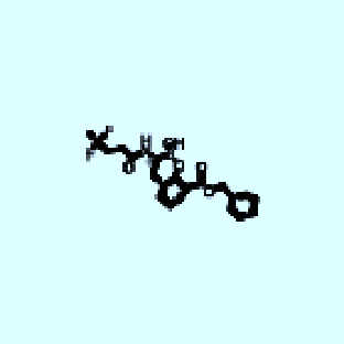 CC(F)(F)CCC(=O)N[C@H]1Cc2cccc(C(=O)OCc3ccccc3)c2OB1O